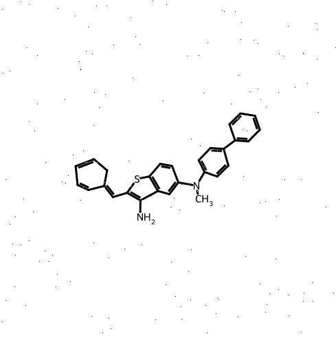 CN(c1ccc(-c2ccccc2)cc1)c1ccc2sc(/C=C3/C=CC=CC3)c(N)c2c1